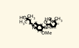 COc1cc2nn(CCC(C)(C)O)cc2cc1NC(=O)c1cccc(C)[n+]1O